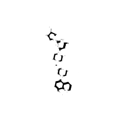 Cc1cc(N2CCN(C[C@H]3CN(c4ccc(C#N)c5ncccc45)C[C@@H](C)O3)CC2)nc(N2C[C@@H](F)[C@@H](N)C2)n1